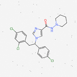 O=C(NN1CCCCC1)c1cn(C(Cc2ccc(Cl)cc2Cl)c2ccc(Cl)cc2)cn1